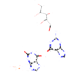 Nc1nc2nc[nH]c2c(=O)[nH]1.O=CC(O)C(O)C(O)CO.O=P(O)(O)O.O=c1[nH]c(=O)c2[nH]cnc2[nH]1